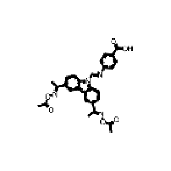 CC(=O)ON=C(C)c1ccc2c(c1)c1cc(C(C)=NOC(C)=O)ccc1n2C=Nc1ccc(C(=O)O)cc1